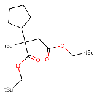 CCCCC(CC(=O)OCC(C)(C)C)(C(=O)OCC(C)(C)C)C1CCCC1